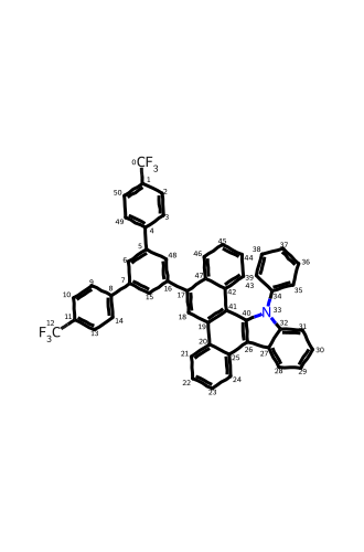 FC(F)(F)c1ccc(-c2cc(-c3ccc(C(F)(F)F)cc3)cc(-c3cc4c5ccccc5c5c6ccccc6n(-c6ccccc6)c5c4c4ccccc34)c2)cc1